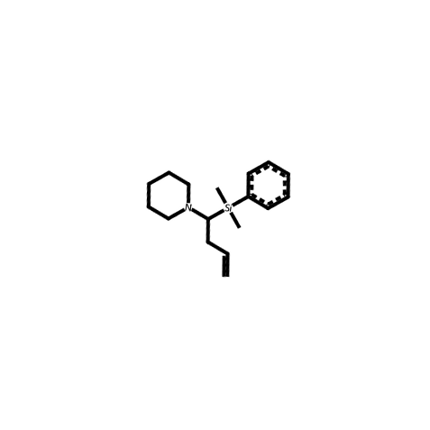 C=CCC(N1CCCCC1)[Si](C)(C)c1ccccc1